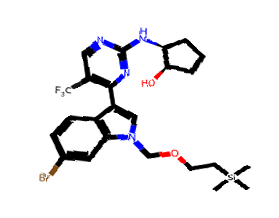 C[Si](C)(C)CCOCn1cc(-c2nc(N[C@H]3CCC[C@H]3O)ncc2C(F)(F)F)c2ccc(Br)cc21